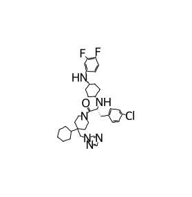 O=C([C@@H](Cc1ccc(Cl)cc1)N[C@H]1CC[C@H](Nc2ccc(F)c(F)c2)CC1)N1CCC(Cn2cncn2)(C2CCCCC2)CC1